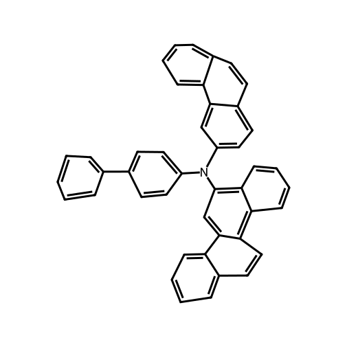 c1ccc(-c2ccc(N(c3ccc4ccc5ccccc5c4c3)c3cc4c5ccccc5ccc4c4ccccc34)cc2)cc1